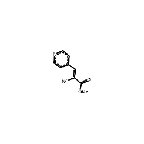 COC(=O)/C(C#N)=C/c1ccncc1